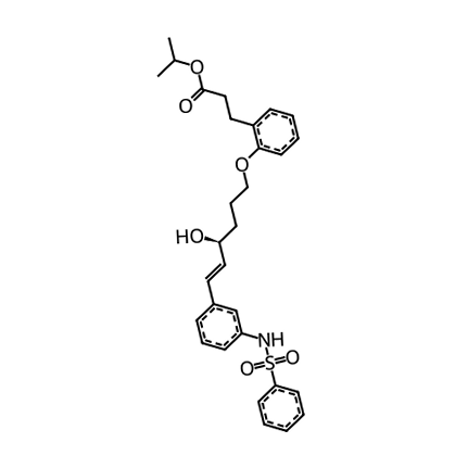 CC(C)OC(=O)CCc1ccccc1OCCC[C@H](O)/C=C/c1cccc(NS(=O)(=O)c2ccccc2)c1